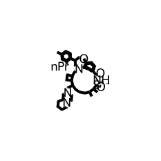 CCCc1cc(C)ccc1C1COc2ccc3cc2N(C1)CC1CCC1C(CN1CCN2CCCCC2C1)CCCC(C)C(C)[S+]([O-])NC3=O